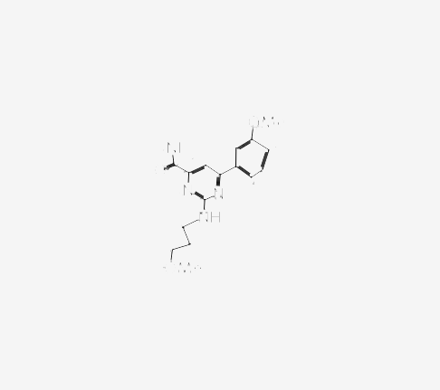 COCCCNc1nc(C(N)=O)cc(-c2cccc(OC)c2)n1